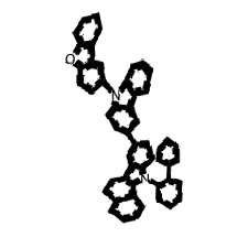 c1ccc(-c2ccccc2-n2c3ccc(-c4ccc5c(c4)c4ccccc4n5-c4ccc5oc6ccccc6c5c4)cc3c3ccc4ccccc4c32)cc1